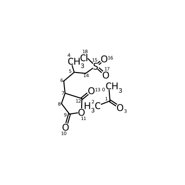 CC(C)=O.CC(CC1CC(=O)OC1=O)CS(=O)(=O)Cl